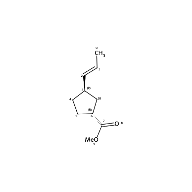 CC=C[C@@H]1CC[C@@H](C(=O)OC)C1